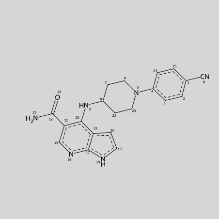 N#Cc1ccc(N2CCC(Nc3c(C(N)=O)cnc4[nH]ccc34)CC2)cc1